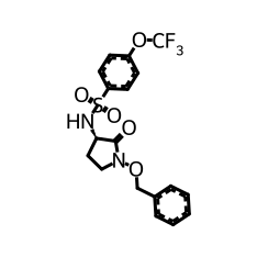 O=C1[C@H](NS(=O)(=O)c2ccc(OC(F)(F)F)cc2)CCN1OCc1ccccc1